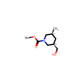 C[C@H]1C[C@@H](CO)CN(C(=O)OC(C)(C)C)C1